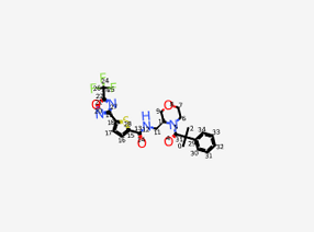 CC(C)(C(=O)N1CCOC[C@@H]1CNC(=O)c1ccc(-c2noc(C(F)(F)F)n2)s1)c1ccccc1